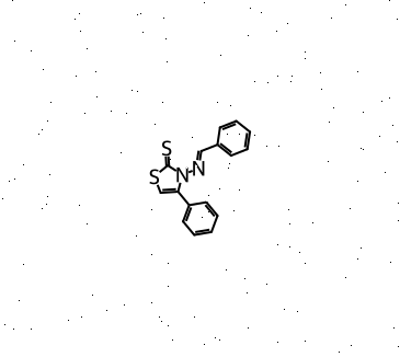 S=c1scc(-c2ccccc2)n1/N=C/c1ccccc1